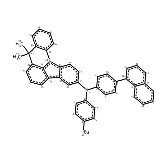 CC(C)(C)c1ccc(N(c2ccc(-c3cccc4ccccc34)cc2)c2ccc3c(c2)c2cccc4c2n3-c2ccccc2C4(C)C)cc1